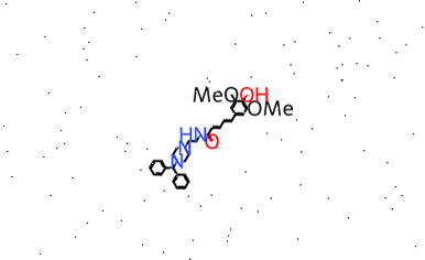 COc1cc(C=CC=CC(=O)NCCN2CCN(C(c3ccccc3)c3ccccc3)CC2)cc(OC)c1O